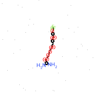 Nc1cc(N)cc(C(=O)OCCOCCOCCOC(=O)C=Cc2ccc(OC(=O)c3ccc(OCC(F)(F)F)cc3)cc2)c1